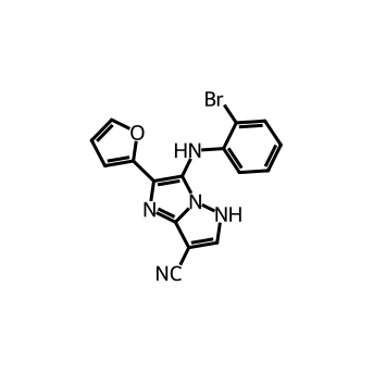 N#Cc1c[nH]n2c(Nc3ccccc3Br)c(-c3ccco3)nc12